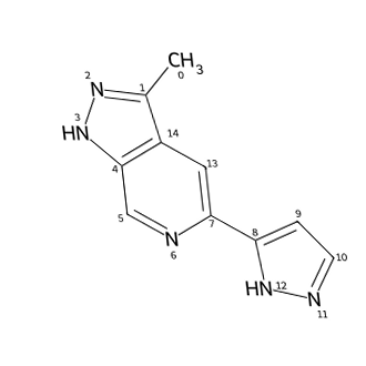 Cc1n[nH]c2cnc(-c3ccn[nH]3)cc12